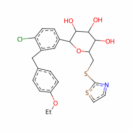 CCOc1ccc(Cc2cc(C3OC(CSc4nccs4)C(O)C(O)C3O)ccc2Cl)cc1